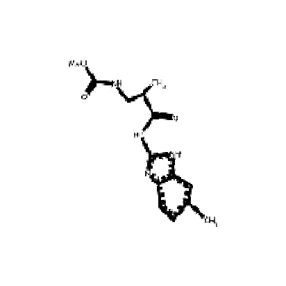 COC(=O)NCC(C)C(=O)Pc1nc2ccc(C)cc2[nH]1